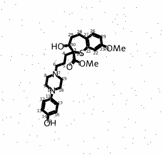 COC(=O)C1(CCCN2CCN(c3ccc(O)cc3)CC2)Sc2cc(OC)ccc2CCC1O